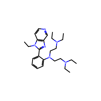 CCN(CC)CCN(CCN(CC)CC)c1ccccc1-c1nc2cnccc2n1CC